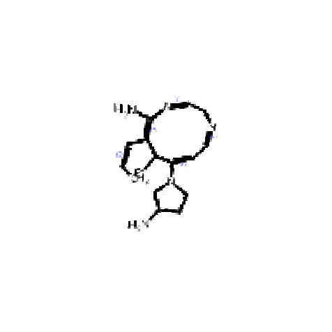 C\C=C/C1=C(N)/N=C\C/N=C\C=C(\N2CCC(N)C2)C1CC